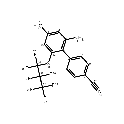 Cc1[c]c(C)c(-c2ccc(C#N)cc2)c(SC(F)(F)C(F)(F)C(F)(F)F)c1